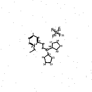 CC[n+]1ccccc1CCP(C1CCCC1)C1CCCC1.F[B-](F)(F)F